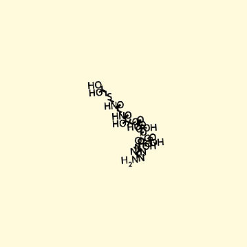 CC(C)(COP(=O)(O)OP(=O)(O)OC[C@H]1O[C@@H](n2cnc3c(N)ncnc32)[C@H](O)[C@@H]1OP(=O)(O)O)C(O)C(=O)NCCC(=O)NCCSC/C=C(\O)CO